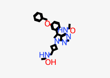 CC(=O)Nc1ncnc2c1C(c1cccc(OCc3ccccc3)c1)CN2C1CC(CNC(C)O)C1